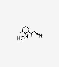 CC1CCCC(C(C)CC#N)C1=NO